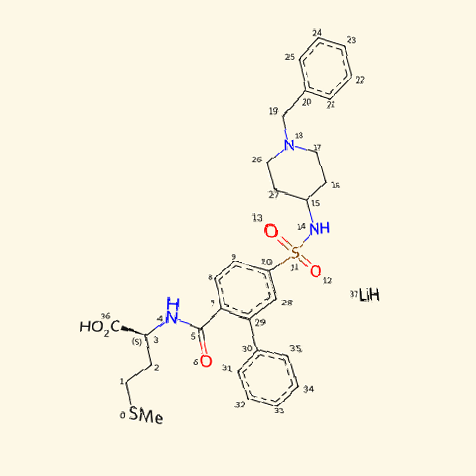 CSCC[C@H](NC(=O)c1ccc(S(=O)(=O)NC2CCN(Cc3ccccc3)CC2)cc1-c1ccccc1)C(=O)O.[LiH]